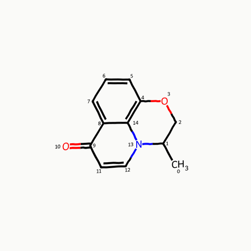 CC1COc2cccc3c(=O)ccn1c23